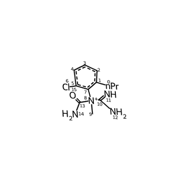 CCCc1cccc(Cl)c1[N+](C)(C(=N)N)C(N)=O